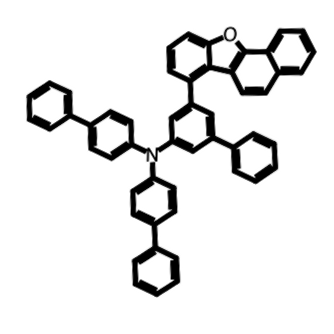 c1ccc(-c2ccc(N(c3ccc(-c4ccccc4)cc3)c3cc(-c4ccccc4)cc(-c4cccc5oc6c7ccccc7ccc6c45)c3)cc2)cc1